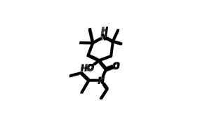 CCC(C)N(CC)C(=O)C1(O)CC(C)(C)NC(C)(C)C1